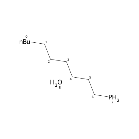 CCCCCCCCCCP.O